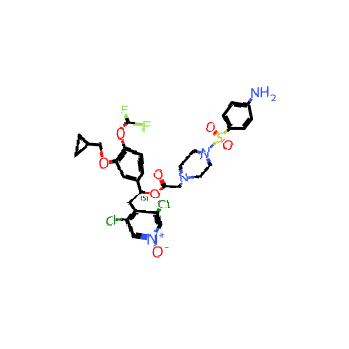 Nc1ccc(S(=O)(=O)N2CCN(CC(=O)O[C@@H](Cc3c(Cl)c[n+]([O-])cc3Cl)c3ccc(OC(F)F)c(OCC4CC4)c3)CC2)cc1